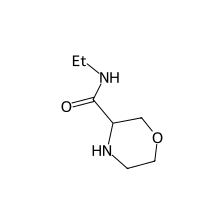 CCNC(=O)C1COCCN1